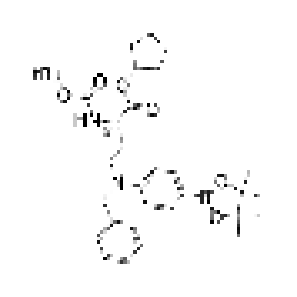 CC(C)(C)OC(=O)N[C@@H](CCN(Cc1ccccc1)c1ccc(B2OC(C)(C)C(C)(C)O2)cc1)C(=O)OC1CCCC1